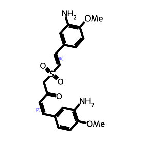 COc1ccc(/C=C\C(=O)CS(=O)(=O)/C=C/c2ccc(OC)c(N)c2)cc1N